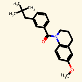 COc1ccc2c(c1)CCCN2C(=O)c1cccc(CC(C)(C)C)c1